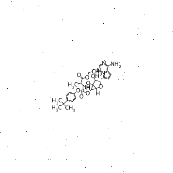 CCOC(=O)[C@H](C)N[P@](=O)(Oc1ccc(C(C)(C)C)cc1)OC1[C@H]2O[C@@H](c3ccc4c(N)ncnn34)[C@H](O)[C@@]12O